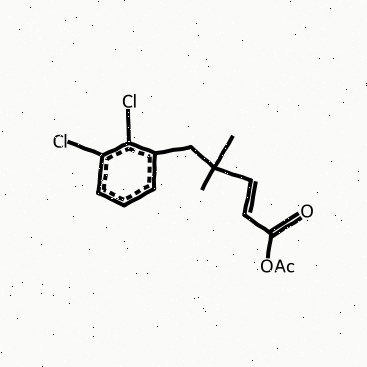 CC(=O)OC(=O)C=CC(C)(C)Cc1cccc(Cl)c1Cl